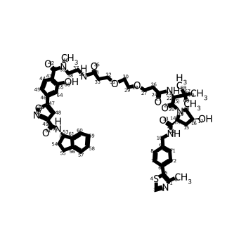 Cc1ncsc1-c1ccc(CNC(=O)[C@@H]2C[C@@H](O)CN2C(=O)[C@@H](NC(=O)CCOCCOCCC(=O)NCCN(C)C(=O)c2ccc(-c3cc(C(=O)N[C@@H]4CCc5ccccc54)no3)cc2O)C(C)(C)C)cc1